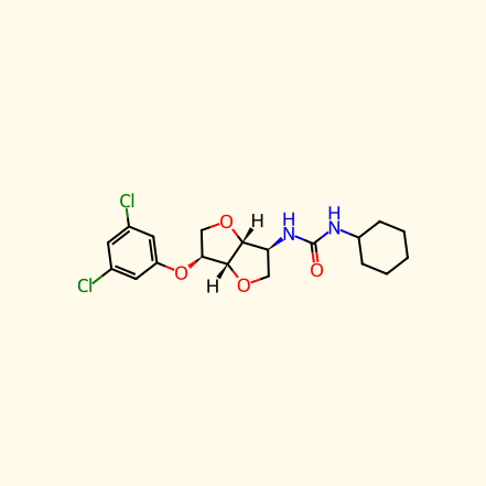 O=C(NC1CCCCC1)N[C@H]1CO[C@H]2[C@@H]1OC[C@@H]2Oc1cc(Cl)cc(Cl)c1